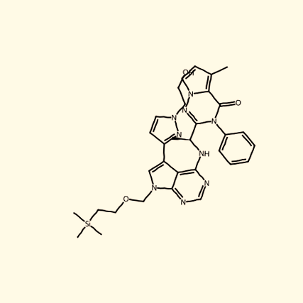 Cc1ccn2nc([C@H](C)Nc3ncnc4c3c(-c3ccn(CCO)n3)cn4COCC[Si](C)(C)C)n(-c3ccccc3)c(=O)c12